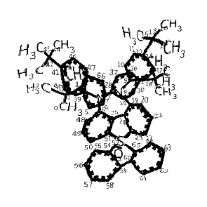 CC(C)(C)c1ccc(N(c2ccc(C(C)(C)C)cc2)c2cccc3c2-c2c(N(c4ccc(C(C)(C)C)cc4)c4ccc(C(C)(C)C)cc4)cccc2S32(=O)c3ccccc3-c3ccccc32)cc1